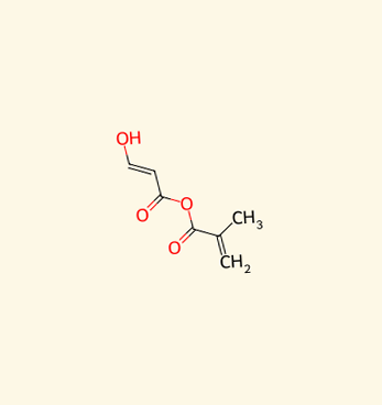 C=C(C)C(=O)OC(=O)C=CO